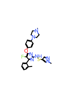 Cc1ccccc1-c1nc(NSc2cnn(C)c2)nc(Oc2ccc(N3CCN(C)CC3)cc2)c1F